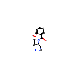 COc1ccccc1C(=O)N1CCC1CN